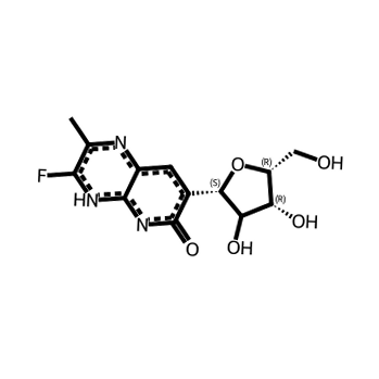 Cc1nc2cc([C@@H]3O[C@H](CO)[C@H](O)C3O)c(=O)nc-2[nH]c1F